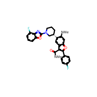 CNC(=O)c1c(-c2ccc(F)cc2)oc2cc(NC)c([C@H]3CCCN(c4nc5c(F)cccc5o4)C3)cc12